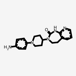 Nc1ccc(N2CCC(N3CCc4cccnc4NC3=O)CC2)cc1